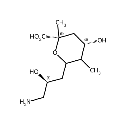 CC1C(C[C@H](O)CN)O[C@](C)(C(=O)O)C[C@@H]1O